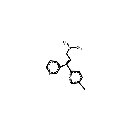 CN(C)CC=C(c1ccc(I)cc1)c1cccnc1